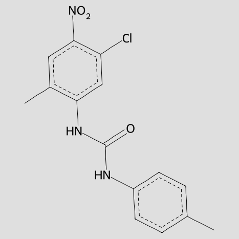 Cc1ccc(NC(=O)Nc2cc(Cl)c([N+](=O)[O-])cc2C)cc1